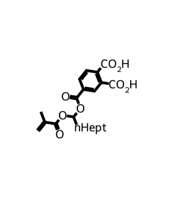 C=C(C)C(=O)OC(CCCCCCC)OC(=O)c1ccc(C(=O)O)c(C(=O)O)c1